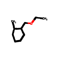 CCOCC1CCCCC1C